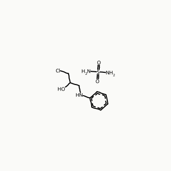 NS(N)(=O)=O.OC(CCl)CNc1ccccc1